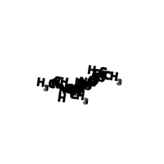 Cc1cc(NCCN(C)C)ccc1-n1ncc2c(OC3CCN(C(=O)OC(C)C)CC3)ncnc21